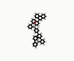 c1ccc(-c2ccccc2N(c2ccc(-c3ccc(-c4ccccc4-n4c5ccccc5c5ccccc54)cc3)cc2)c2ccc(-c3cc4ccccc4c4ccccc34)cc2)cc1